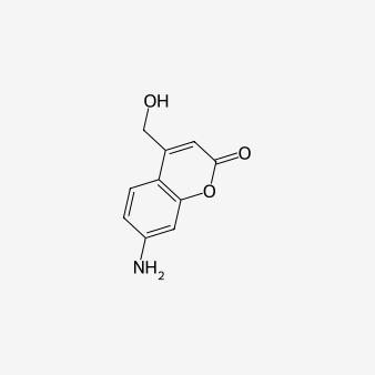 Nc1ccc2c(CO)cc(=O)oc2c1